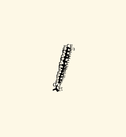 CCC=C(C)C(=O)OC(F)(F)C(F)(F)C(F)(F)C(F)(F)C(F)(F)C(F)(F)C(F)(F)C(F)(F)C(F)(F)C(F)(F)C(F)(F)C(F)(F)C(F)(F)F